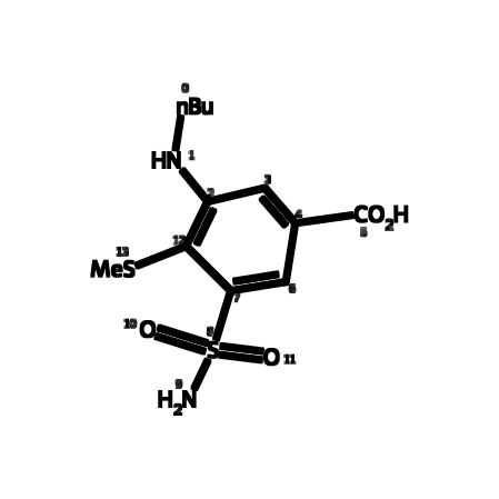 CCCCNc1cc(C(=O)O)cc(S(N)(=O)=O)c1SC